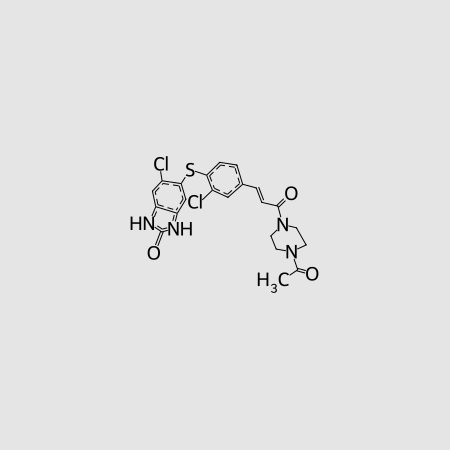 CC(=O)N1CCN(C(=O)C=Cc2ccc(Sc3cc4[nH]c(=O)[nH]c4cc3Cl)c(Cl)c2)CC1